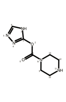 O=C(Oc1nnc[nH]1)N1CCNCC1